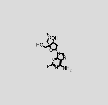 COC[C@]1(CO)O[C@@H](n2cnc3c(N)nc(F)nc32)C[C@@H]1O